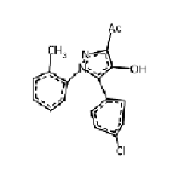 CC(=O)c1nn(-c2ccccc2C)c(-c2ccc(Cl)cc2)c1O